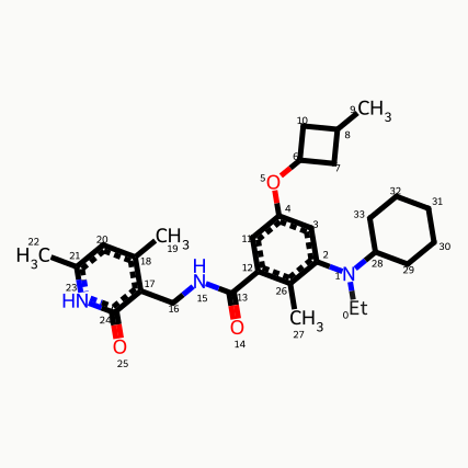 CCN(c1cc(OC2CC(C)C2)cc(C(=O)NCc2c(C)cc(C)[nH]c2=O)c1C)C1CCCCC1